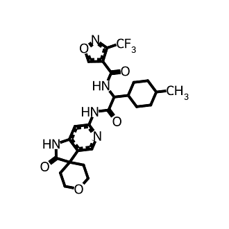 CC1CCC(C(NC(=O)c2conc2C(F)(F)F)C(=O)Nc2cc3c(cn2)C2(CCOCC2)C(=O)N3)CC1